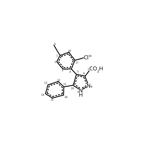 Cc1ccc(-c2c(C(=O)O)n[nH]c2-c2ccccc2)c(Cl)c1